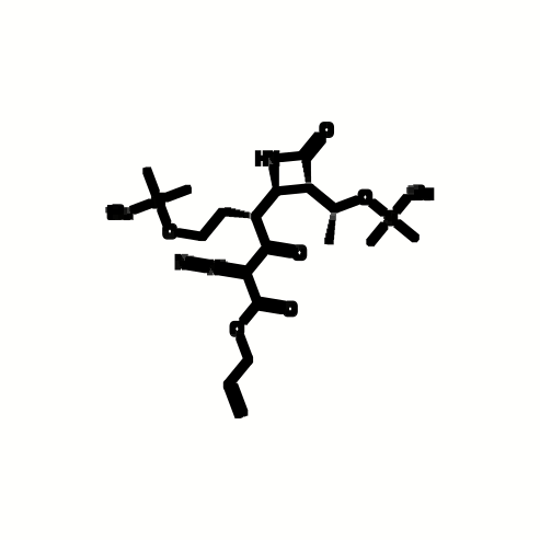 C=CCOC(=O)C(=[N+]=[N-])C(=O)[C@H](CCO[Si](C)(C)C(C)(C)C)[C@H]1NC(=O)[C@@H]1[C@@H](C)O[Si](C)(C)C(C)(C)C